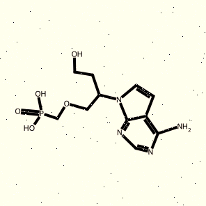 Nc1ncnc2c1ccn2C(CCO)COCP(=O)(O)O